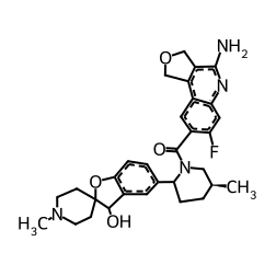 C[C@H]1CCC(c2ccc3c(c2)C(O)C2(CCN(C)CC2)O3)N(C(=O)c2cc3c4c(c(N)nc3cc2F)COC4)C1